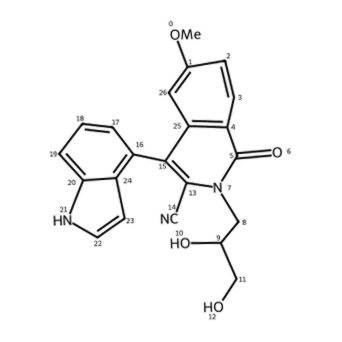 COc1ccc2c(=O)n(CC(O)CO)c(C#N)c(-c3cccc4[nH]ccc34)c2c1